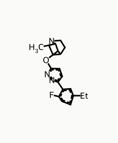 CCc1ccc(F)c(-c2ccc(OC3C4CCN(CC4)C3C)nn2)c1